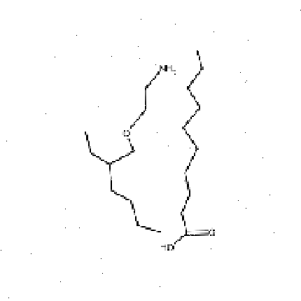 CCCCC(CC)COCCN.CCCCCCCCCC(=O)O